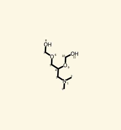 CN(C)CC(COCO)OCO